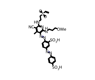 C=CS(=O)(=O)CCNc1nc(NCCCOC)c(/N=N/c2ccc(/N=N/c3ccc(S(=O)(=O)O)cc3)cc2S(=O)(=O)O)c(C)c1C#N